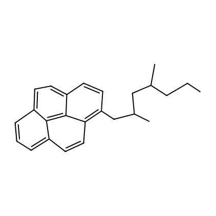 CCCC(C)CC(C)Cc1ccc2ccc3cccc4ccc1c2c34